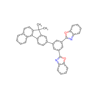 CC1(C)c2cc(-c3cc(-c4nc5ccccc5o4)cc(-c4nc5ccccc5o4)c3)ccc2-c2c1ccc1ccccc21